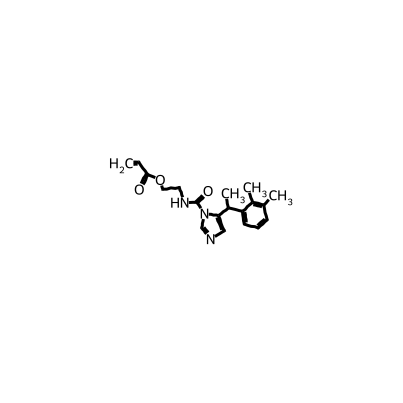 C=CC(=O)OCCNC(=O)n1cncc1C(C)c1cccc(C)c1C